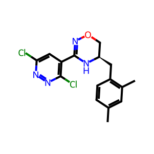 Cc1ccc(C[C@@H]2CON=C(c3cc(Cl)nnc3Cl)N2)c(C)c1